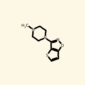 [CH2]N1CCN(c2noc3ccsc23)CC1